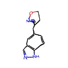 c1cc2[nH]ncc2cc1C1=NOCC1